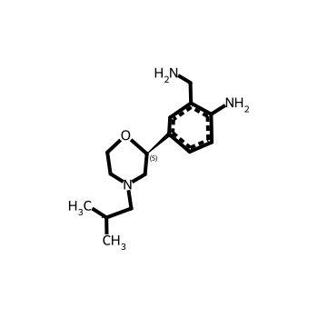 C[C](C)CN1CCO[C@@H](c2ccc(N)c(CN)c2)C1